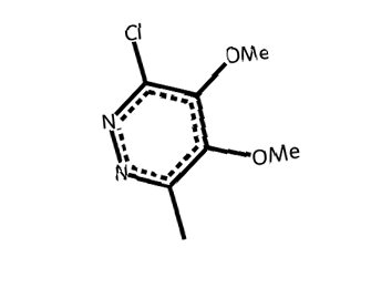 COc1c(C)nnc(Cl)c1OC